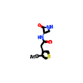 CC(=O)Oc1cscc1CC(=O)N[C@H]1CNC1=O